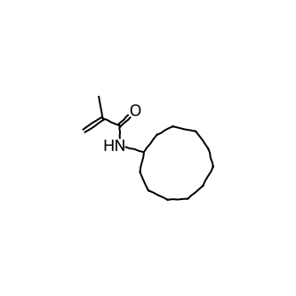 C=C(C)C(=O)NC1CCCCCCCCCC1